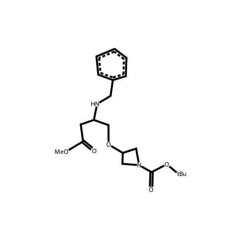 COC(=O)CC(COC1CN(C(=O)OC(C)(C)C)C1)NCc1ccccc1